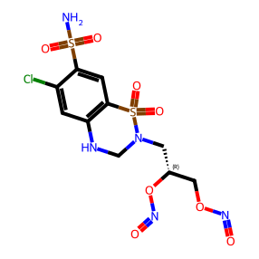 NS(=O)(=O)c1cc2c(cc1Cl)NCN(C[C@H](CON=O)ON=O)S2(=O)=O